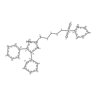 O=S(=O)(CCCCSc1nc(-c2ccccc2)c(-c2ccccc2)[nH]1)c1ccccn1